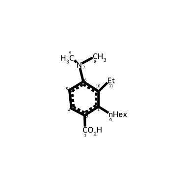 CCCCCCc1c(C(=O)O)ccc(N(C)C)c1CC